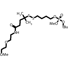 COCCOCCNC(=O)CCC(C)(C)SSCCCCOP(=O)(OC)OC(C)(C)C